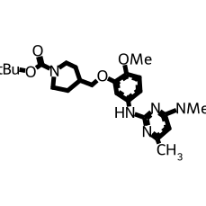 CNc1cc(C)nc(Nc2ccc(OC)c(OCC3CCN(C(=O)OC(C)(C)C)CC3)c2)n1